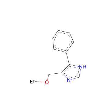 CCOCc1nc[nH]c1-c1ccccc1